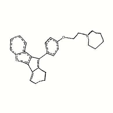 C1=C2C(=C(c3ccc(OCCN4CCCCC4)cc3)c3c2sc2ccccc32)CCC1